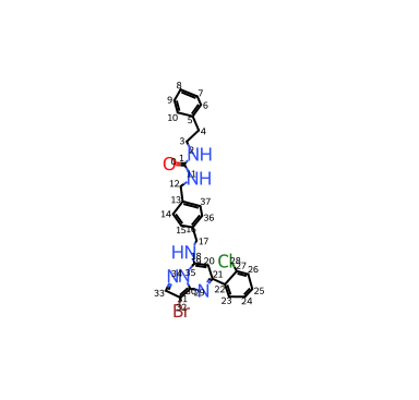 O=C(NCCc1ccccc1)NCc1ccc(CNc2cc(-c3ccccc3Cl)nc3c(Br)cnn23)cc1